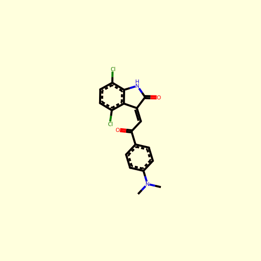 CN(C)c1ccc(C(=O)/C=C2/C(=O)Nc3c(Cl)ccc(Cl)c32)cc1